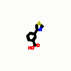 O=C(O)c1cccc(-c2cs[c]n2)c1